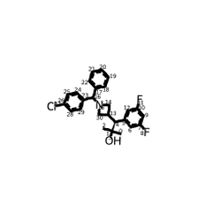 CC(C)(O)[C@H](c1cc(F)cc(F)c1)C1CN(C(c2ccccc2)c2ccc(Cl)cc2)C1